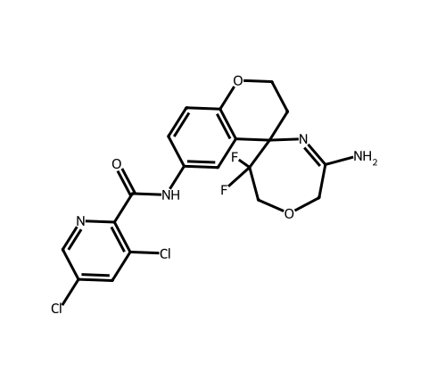 NC1=NC2(CCOc3ccc(NC(=O)c4ncc(Cl)cc4Cl)cc32)C(F)(F)COC1